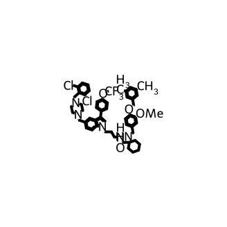 COc1cc(CNC2(C(=O)NCCCn3cc(-c4ccc(OC(F)(F)F)cc4)c4cc(CN5CCN(Cc6c(Cl)cccc6Cl)CC5)ccc43)CCCCC2)ccc1OCc1cc(C)cc(C)c1